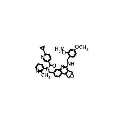 COc1ccc(CNc2nc3cc(CN(C(=O)c4ccc(C5CC5)nc4)c4cccnc4C)ccc3c3c2COC3)c(OC)c1